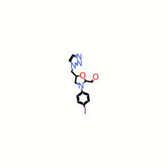 O=CC1OC(Cn2ccnn2)CN1c1ccc(I)cc1